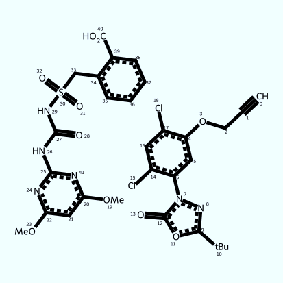 C#CCOc1cc(-n2nc(C(C)(C)C)oc2=O)c(Cl)cc1Cl.COc1cc(OC)nc(NC(=O)NS(=O)(=O)Cc2ccccc2C(=O)O)n1